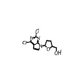 OCC1CCC(n2ccc3c(Cl)nc(Cl)nc32)O1